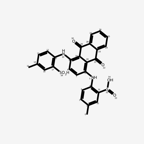 Cc1ccc(Nc2ccc(Nc3ccc(C)cc3S(=O)(=O)O)c3c2C(=O)c2ccccc2C3=O)c(S(=O)O)c1